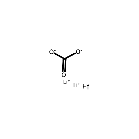 O=C([O-])[O-].[Hf].[Li+].[Li+]